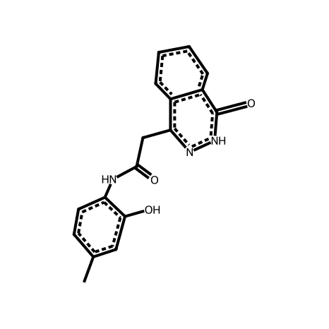 Cc1ccc(NC(=O)Cc2n[nH]c(=O)c3ccccc23)c(O)c1